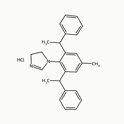 Cc1cc(C(C)c2ccccc2)c(N2C=NCC2)c(C(C)c2ccccc2)c1.Cl